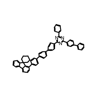 c1ccc(-c2ccc(-c3nc(-c4ccccc4)nc(-c4ccc(-c5ccc(-c6ccc(-c7cccc8c7C7(CCCCC7)c7ccccc7-8)cc6)cc5)cc4)n3)cc2)cc1